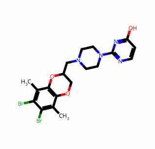 Cc1c(Br)c(Br)c(C)c2c1OCC(CN1CCN(c3nccc(O)n3)CC1)O2